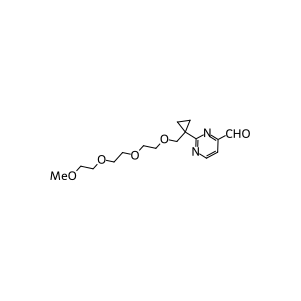 COCCOCCOCCOCC1(c2nccc(C=O)n2)CC1